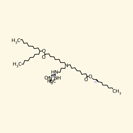 CCCCCC/C=C/COC(=O)CCCCCCCN(CCCCCCCC(=O)OC(CCCCCCCC)CCCCCCCC)CCCN/C(=C/[N+](=O)[O-])NC